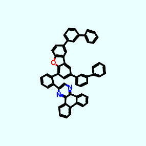 c1ccc(-c2cccc(-c3ccc4oc5c(-c6ccccc6-c6cnc7c8ccccc8c8ccccc8c7n6)cc(-c6cccc(-c7ccccc7)c6)cc5c4c3)c2)cc1